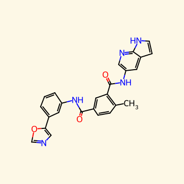 Cc1ccc(C(=O)Nc2cccc(-c3cnco3)c2)cc1C(=O)Nc1cnc2[nH]ccc2c1